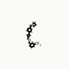 FC(F)(F)c1cccc(COCC2CC(c3ccc(CN4CCCC4)cc3)C2)c1